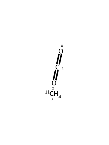 O=C=O.[11CH4]